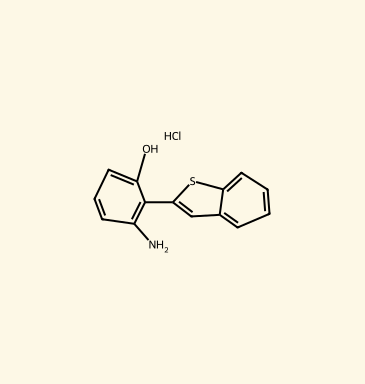 Cl.Nc1cccc(O)c1-c1cc2ccccc2s1